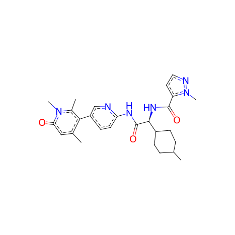 Cc1cc(=O)n(C)c(C)c1-c1ccc(NC(=O)[C@@H](NC(=O)c2ccnn2C)C2CCC(C)CC2)nc1